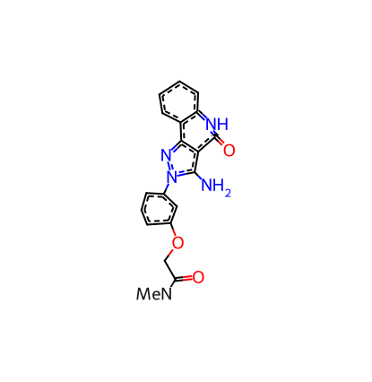 CNC(=O)COc1cccc(-n2nc3c(c2N)c(=O)[nH]c2ccccc23)c1